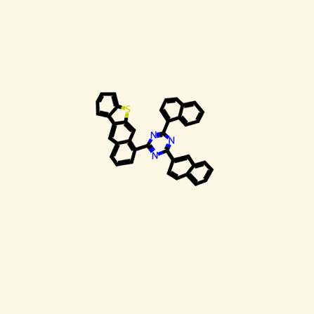 c1ccc2cc(-c3nc(-c4cccc5ccccc45)nc(-c4cccc5cc6c(cc45)sc4ccccc46)n3)ccc2c1